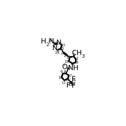 Cc1ccc(NC(=O)c2cccc(C(F)(F)F)c2)cc1C#Cc1cnc(N)nc1